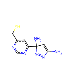 NC1=CC(N)(c2cc(CS)ncn2)N=N1